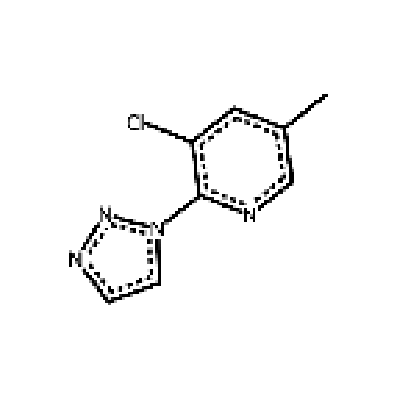 Cc1cnc(-n2ccnn2)c(Cl)c1